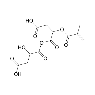 C=C(C)C(=O)OC(CC(=O)O)C(=O)OC(=O)C(O)CC(=O)O